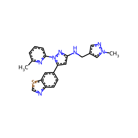 Cc1cccc(-n2nc(NCc3cnn(C)c3)cc2-c2ccc3ncsc3c2)n1